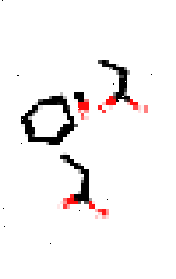 C=O.CCC(=O)O.CCC(=O)O.c1ccccc1